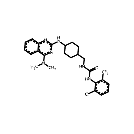 CN(C)c1nc(NC2CCC(CNC(=O)Nc3c(Cl)cccc3C(F)(F)F)CC2)nc2ccccc12